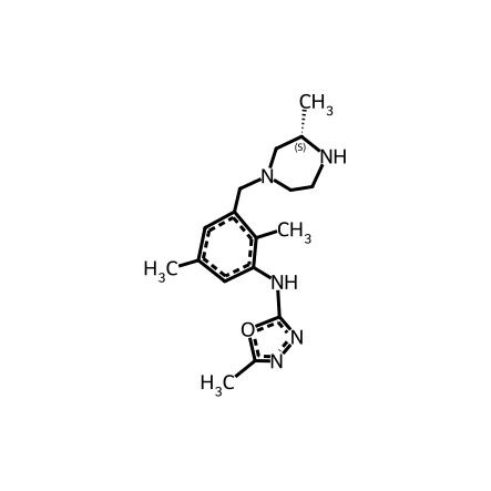 Cc1cc(CN2CCN[C@@H](C)C2)c(C)c(Nc2nnc(C)o2)c1